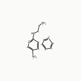 NCCNc1ccc([N+](=O)[O-])cn1.c1ccncc1